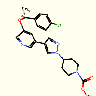 C[C@@H](Oc1cncc(-c2cnn(C3CCN(C(=O)OC(C)(C)C)CC3)c2)c1)c1ccc(Cl)cc1